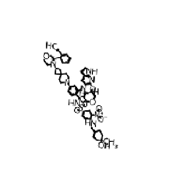 C#Cc1ccccc1[C@@H]1COCCN1C1CC2(CCN(c3ccc(C(=O)NS(=O)(=O)c4ccc(NCC5CCC(C)(O)CC5)c([N+](=O)[O-])c4)c(N4c5cc6cc[nH]c6nc5O[C@H]5COCC[C@@H]54)c3)CC2)C1